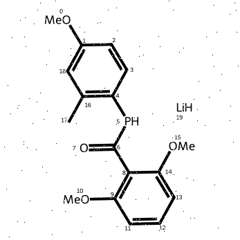 COc1ccc(PC(=O)c2c(OC)cccc2OC)c(C)c1.[LiH]